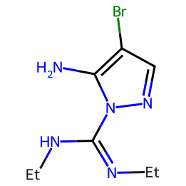 CC/N=C(/NCC)n1ncc(Br)c1N